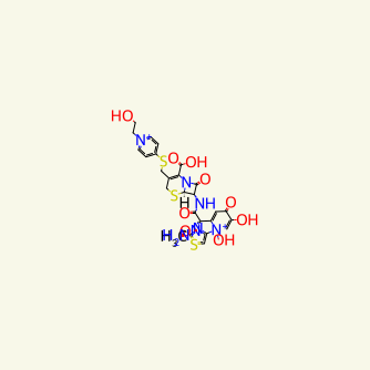 CO/N=C(\C(=O)N[C@@H]1C(=O)N2C(C(=O)O)=C(CSc3cc[n+](CCO)cc3)CS[C@H]12)C1=CC(=O)C(O)=C[N+]1(O)c1csc(N)n1